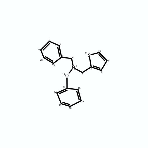 c1ccc(CN(Cc2cccs2)Oc2ccccc2)cc1